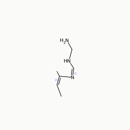 C/C=C(C)\N=C/NCN